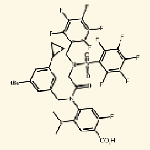 CN(C)c1cc(C(=O)O)c(F)cc1N(Cc1cc(C2CC2)cc(C(C)(C)C)c1)C(=O)CN(Cc1c(F)c(F)c(F)c(F)c1F)S(=O)(=O)c1c(F)c(F)c(F)c(F)c1F